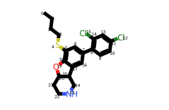 CCCCSc1cc(-c2ccc(Cl)cc2Cl)cc2c1OC1CCNCC21